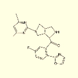 Cc1cc(C)nc(N2CC3CNC(C(=O)c4cc(F)ccc4-c4ncco4)C3C2)n1